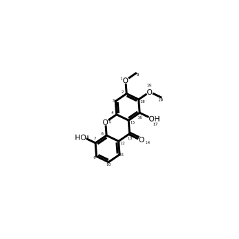 COc1cc2oc3c(O)cccc3c(=O)c2c(O)c1OC